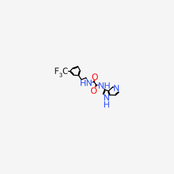 O=C(NCCc1cccc(C(F)(F)F)c1)C(=O)Nc1c[nH]c2ccncc12